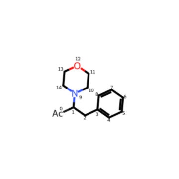 CC(=O)C(Cc1ccccc1)N1CCOCC1